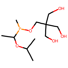 CC(C)OC(C)P(C)OCC(CO)(CO)CO